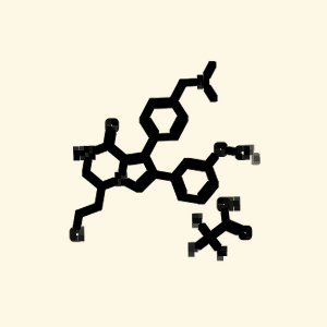 CN(C)Cc1ccc(-c2c(-c3cccc(OC(F)(F)F)c3)cn3c2C(=O)NCC3CCCl)cc1.O=C(O)C(F)(F)F